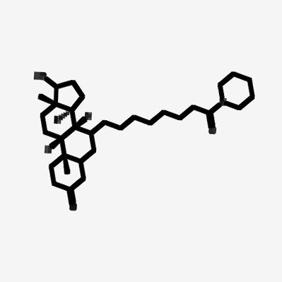 C[C@]12CCC(=O)CC1CC(CCCCCCCC(=O)N1CCCCC1)[C@@H]1[C@H]2CC[C@]2(C)C(O)CC[C@@H]12